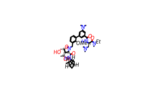 CCN(C)C(=O)[C@@H](CN(C)C)NC(=O)c1cc(-c2cccc(CN3O[C@@H](CO)[C@@H]([C@H](C)O)[C@H]3C(=O)N[C@H]3C[C@H]4C[C@@H]([C@@H]3C)C4(C)C)c2OC)cc(N(C)C)c1